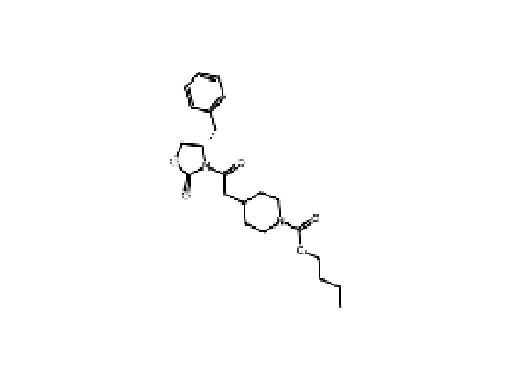 CCCCOC(=O)N1CCC(CC(=O)N2C(=O)OC[C@@H]2Cc2ccccc2)CC1